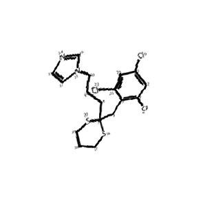 Clc1cc(Cl)c(CC2(CCCn3ccnc3)SCCCS2)c(Cl)c1